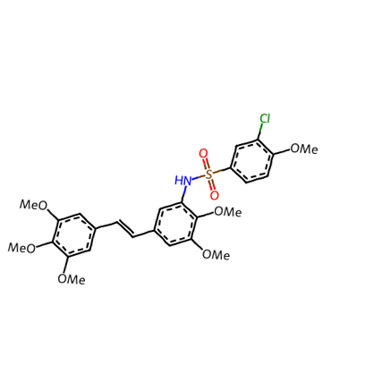 COc1ccc(S(=O)(=O)Nc2cc(C=Cc3cc(OC)c(OC)c(OC)c3)cc(OC)c2OC)cc1Cl